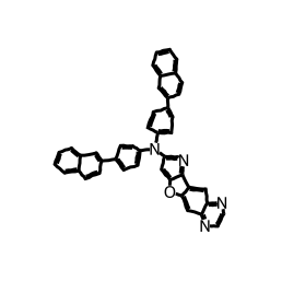 c1ccc2cc(-c3ccc(N(c4ccc(-c5ccc6ccccc6c5)cc4)c4cnc5c(c4)oc4cc6nccnc6cc45)cc3)ccc2c1